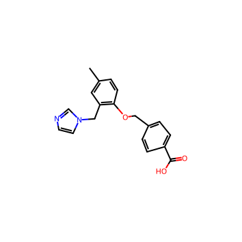 Cc1ccc(OCc2ccc(C(=O)O)cc2)c(Cn2ccnc2)c1